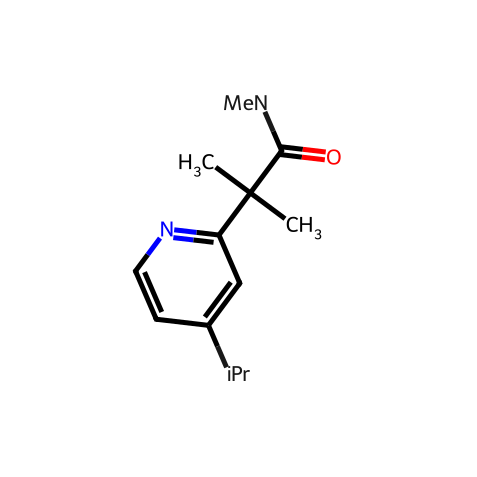 CNC(=O)C(C)(C)c1cc(C(C)C)ccn1